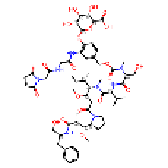 CC[C@H](C)[C@@H]([C@@H](CC(=O)N1CCC[C@H]1[C@H](OC)[C@@H](C)C(=O)N[C@H](CO)Cc1ccccc1)OC)N(C)C(=O)[C@@H](NC(=O)[C@H](CO)N(C)C(=O)OCc1ccc(O[C@@H]2O[C@H](C(=O)O)[C@@H](O)[C@H](O)[C@H]2O)c(NC(=O)CNC(=O)CN2C(=O)C=CC2=O)c1)C(C)C